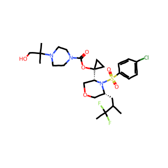 CC(C[C@@H]1COC[C@H](C2(OC(=O)N3CCN(C(C)(C)CO)CC3)CC2)N1S(=O)(=O)c1ccc(Cl)cc1)C(C)(F)F